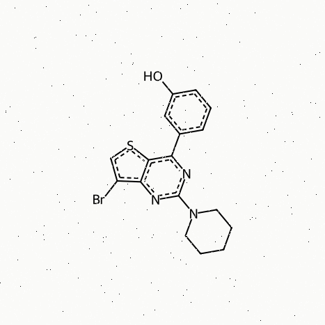 Oc1cccc(-c2nc(N3CCCCC3)nc3c(Br)csc23)c1